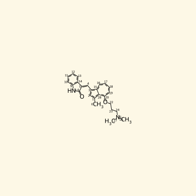 Cc1cc(/C=C2\C(=O)Nc3ccccc32)c2ccccc(OCCCN(C)C)c1-2